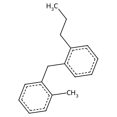 CCCc1ccccc1Cc1ccccc1C